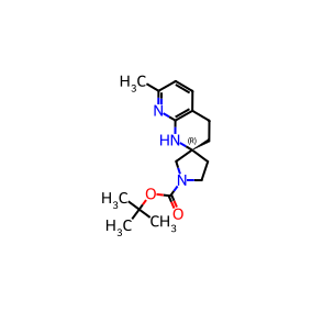 Cc1ccc2c(n1)N[C@]1(CC2)CCN(C(=O)OC(C)(C)C)C1